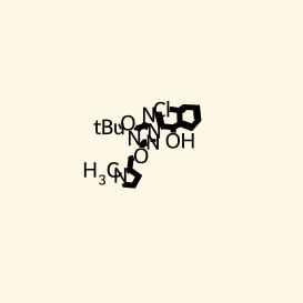 CN1CCCC1COc1nc(OC(C)(C)C)c2ncc(C(O)c3ccccc3Cl)n2n1